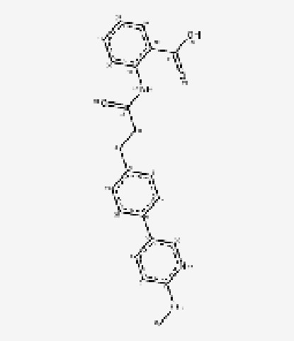 COc1ccc(-c2ccc(CCC(=O)Nc3ccccc3C(=O)O)cc2)cn1